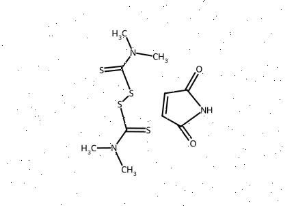 CN(C)C(=S)SSC(=S)N(C)C.O=C1C=CC(=O)N1